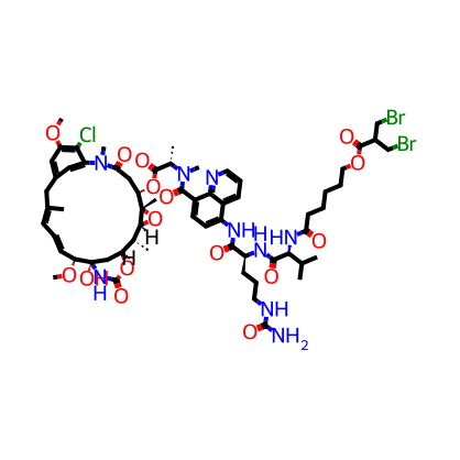 COc1cc2cc(c1Cl)N(C)C(=O)C[C@H](OC(=O)[C@H](C)N(C)C(=O)c1ccc(NC(=O)[C@H](CCCNC(N)=O)NC(=O)[C@@H](NC(=O)CCCCCOC(=O)C(CBr)CBr)C(C)C)c3cccnc13)[C@]1(C)O[C@H]1[C@H](C)[C@@H]1C[C@@](O)(NC(=O)O1)[C@H](OC)/C=C/C=C(\C)C2